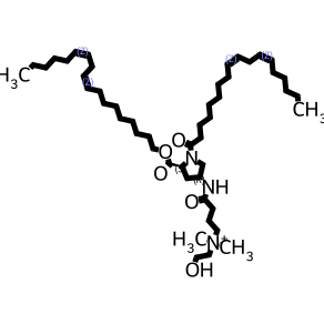 CCCCC/C=C\C/C=C\CCCCCCCCOC(=O)[C@@H]1C[C@@H](NC(=O)CCC[N+](C)(C)CCO)CN1C(=O)CCCCCCC/C=C\C/C=C\CCCCC